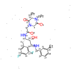 CCCN1C(=O)CN(CC(=O)N[C@@H](Cc2cc(F)cc(F)c2)[C@H](O)CNCc2cccc(CC)c2)C(=O)[C@@H]1C(C)C